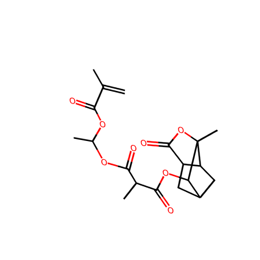 C=C(C)C(=O)OC(C)OC(=O)C(C)C(=O)OC1C2CC3C(=O)OC1(C)C3C2